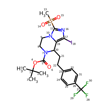 CC(C)(C)OC(=O)N1CCn2c(S(C)(=O)=O)nc(I)c2C1CCc1ccc(C(F)(F)F)cc1